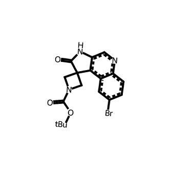 CC(C)(C)OC(=O)N1CC2(C1)C(=O)Nc1cnc3ccc(Br)cc3c12